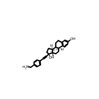 C[C@]12CC[C@@H]3c4ccc(O)cc4CCC3[C@@H]1CC[C@@]2(O)C#Cc1ccc(CN)cc1